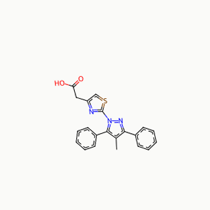 Cc1c(-c2ccccc2)nn(-c2nc(CC(=O)O)cs2)c1-c1ccccc1